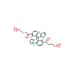 COCCCC(=O)c1ccc(F)[c]([Ti]([C]2=CC=CC2)([C]2=CC=CC2)[c]2c(F)ccc(C(=O)CCCOC)c2F)c1F